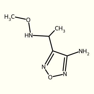 CONC(C)c1nonc1N